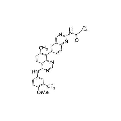 COc1ccc(Nc2ncnc3c(-c4ccc5nc(NC(=O)C6CC6)ncc5c4)c(C)ccc23)cc1C(F)(F)F